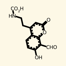 O=Cc1c(O)ccc2c(CCNC(=O)O)cc(=O)oc12